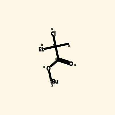 CCC(C)(Cl)C(=O)OC(C)(C)C